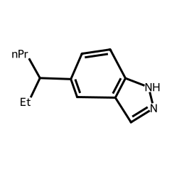 CCCC(CC)c1ccc2[nH]ncc2c1